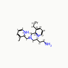 CC1=CC=CNC1CN(CCCCN)Cc1ncccc1CC(C)C